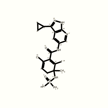 CCC[SH](=O)(P)NC1(C)CC=C(Cl)C(C(=O)Nc2cnc3[nH]nc(C4CC4)c3c2)=C1F